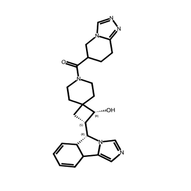 O=C(C1CCc2nncn2C1)N1CCC2(CC1)C[C@@H]([C@H]1C3C=CC=CC3c3cncn31)[C@H]2O